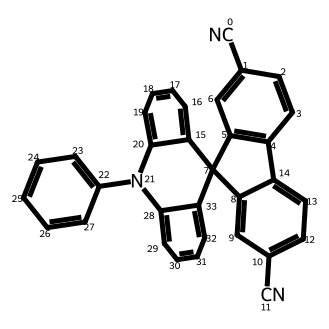 N#Cc1ccc2c(c1)C1(c3cc(C#N)ccc3-2)c2ccccc2N(c2ccccc2)c2ccccc21